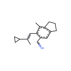 C/C(=C\c1c(C=N)cc2c(c1C)CCC2)C1CC1